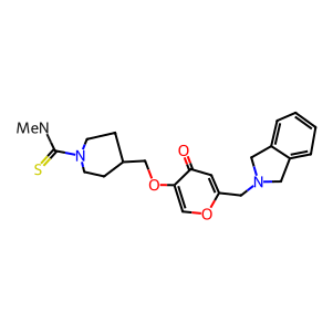 CNC(=S)N1CCC(COc2coc(CN3Cc4ccccc4C3)cc2=O)CC1